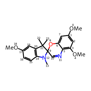 COc1cc(OC)c2c(c1)OC1(C=N2)N(C)c2ccc(OC)cc2C1(C)C